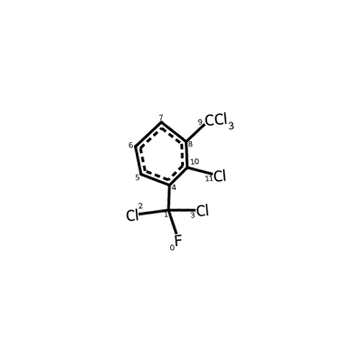 FC(Cl)(Cl)c1cccc(C(Cl)(Cl)Cl)c1Cl